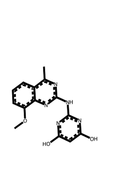 COc1cccc2c(C)nc(Nc3nc(O)cc(O)n3)nc12